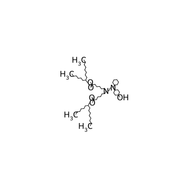 CCCCCCCCC(CCCCCC)COC(=O)CCCCCN(CCCCCC(=O)OCC(CCCCCC)CCCCCCCC)CCN(C1CCCCC1)C1CCC(O)CC1